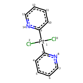 [Cl][Pt]([Cl])([c]1ccccn1)[c]1ccccn1